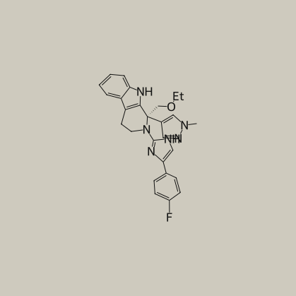 CCOC[C@@]1(c2cnn(C)c2)c2[nH]c3ccccc3c2CCN1c1nc(-c2ccc(F)cc2)c[nH]1